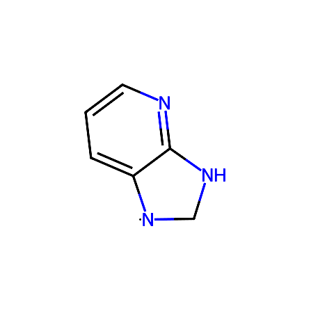 c1cnc2c(c1)[N]CN2